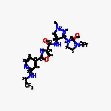 CC(C)N1CCN(c2nn(C)cc2NC(=O)c2coc(-c3ccnc(NCC(F)(F)F)c3)n2)C1=O